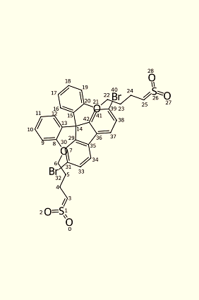 O=S(=O)=CCCCOc1ccccc1C1(c2ccccc2OCCCC=S(=O)=O)c2cc(Br)ccc2-c2ccc(Br)cc21